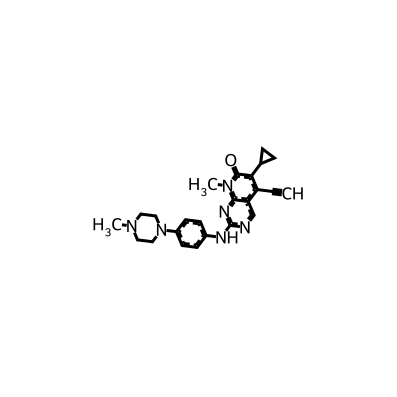 C#Cc1c(C2CC2)c(=O)n(C)c2nc(Nc3ccc(N4CCN(C)CC4)cc3)ncc12